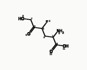 NC(CC(F)C(=O)CO)C(=O)O